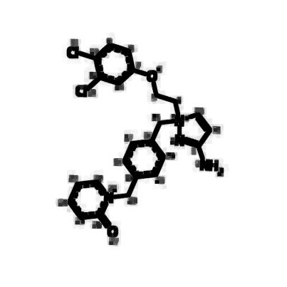 NC1=N[N+](CCOc2ccc(Cl)c(Cl)c2)(Cc2ccc(Cn3ccccc3=O)cc2)C=C1